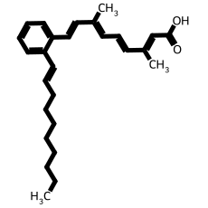 CCCCCCCCC=Cc1ccccc1C=CC(C)=CC=CC(C)=CC(=O)O